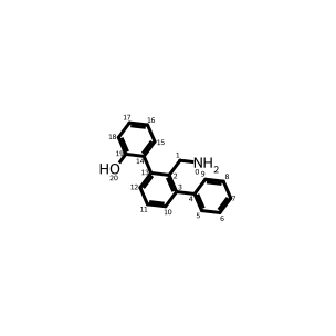 NCc1c(-c2ccccc2)cccc1-c1ccccc1O